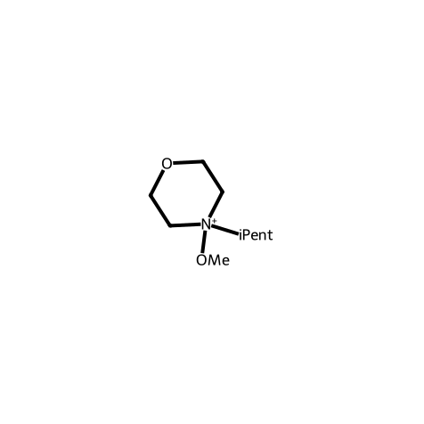 CCCC(C)[N+]1(OC)CCOCC1